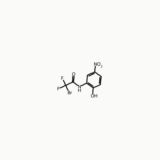 O=C(Nc1cc([N+](=O)[O-])ccc1O)C(F)(F)Br